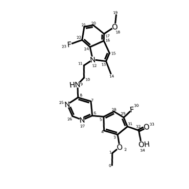 CCOc1cc(-c2cc(NCCn3c(C)cc4c(OC)ccc(F)c43)ncn2)cc(F)c1C(=O)O